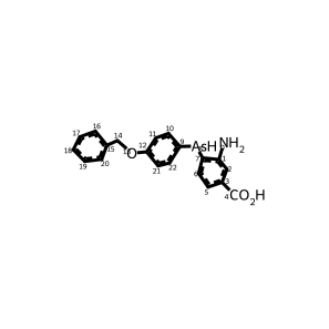 Nc1cc(C(=O)O)ccc1[AsH]c1ccc(OCc2ccccc2)cc1